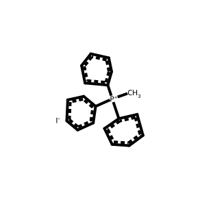 C[P+](c1ccccc1)(c1ccccc1)c1ccccc1.[I-]